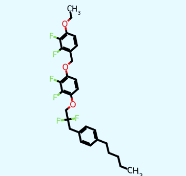 CCCCCc1ccc(CC(F)(F)COc2ccc(OCc3ccc(OCC)c(F)c3F)c(F)c2F)cc1